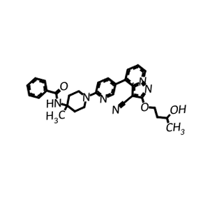 CC(O)CCOc1nn2cccc(-c3ccc(N4CCC(C)(NC(=O)c5ccccc5)CC4)nc3)c2c1C#N